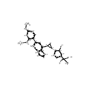 COc1ncc(-c2cc(C3C[C@@H]3c3ncc(C(F)(F)F)cc3F)c3nccn3n2)c(OC)n1